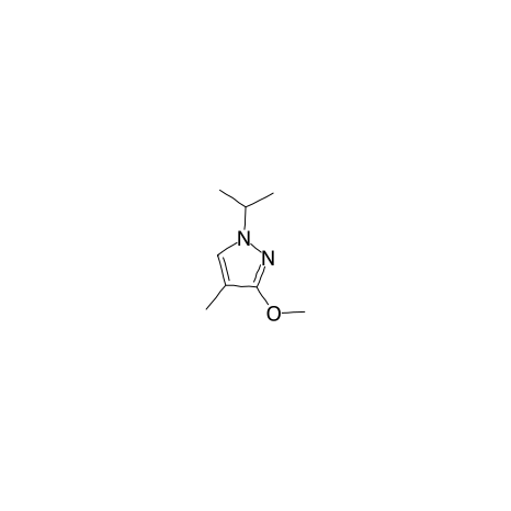 COc1nn(C(C)C)cc1C